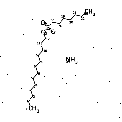 CCCCCCCCCCCCCOS(=O)(=O)CCCCCCC.N